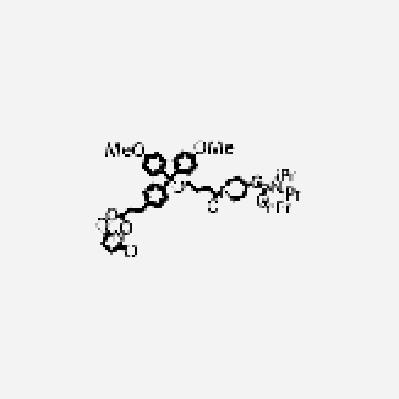 CCCOP(OC1CCN(C(=O)CCCOC(c2ccc(CCC(=O)ON3C(=O)CCC3=O)cc2)(c2ccc(OC)cc2)c2ccc(OC)cc2)CC1)N(C(C)C)C(C)C